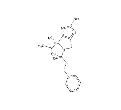 CC(C)[C@@]1(C)c2nc(N)sc2CN1C(=O)OCc1ccccc1